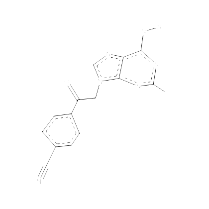 N#Cc1ccc(C(=O)Cn2cnc3c(NN)nc(Cl)nc32)cc1